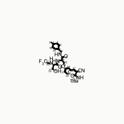 Cc1ccc(CNC(=O)C(COc2cccc(C=C(C#N)C(=O)NC(C)(C)C)c2)NC(=O)[C@@H](NCC(F)(F)F)[C@@H](C)O)cc1